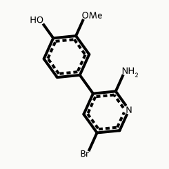 COc1cc(-c2cc(Br)cnc2N)ccc1O